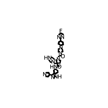 O=C(CN1CCC(CN2CCNCC2)(C(=O)NC2C=c3c(-c4ccncc4)n[nH]c3=CC2)C1)N1CCN(c2ccc(-c3ncc(F)cn3)cc2)CC1